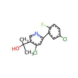 CC(C)(O)c1cnc(-c2cc(Cl)ccc2F)cc1Cl